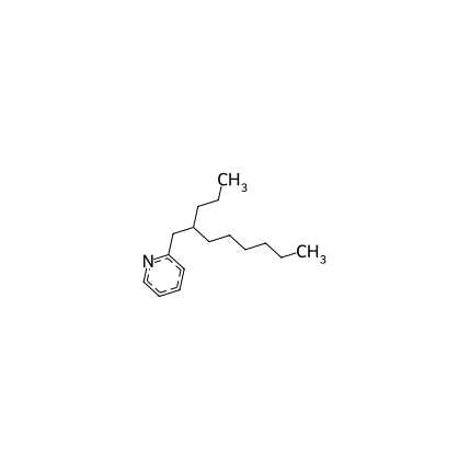 CCCCCCC(CCC)Cc1ccccn1